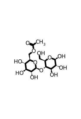 CC(=O)OC[C@H]1O[C@@H](O[C@H]2[C@H](O)[C@@H](O)[C@H](O)O[C@@H]2CO)[C@H](O)[C@@H](O)[C@@H]1O